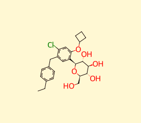 CCc1ccc(Cc2cc([C@@H]3O[C@H](CO)[C@@H](O)[C@H](O)[C@H]3O)c(OC3CCC3)cc2Cl)cc1